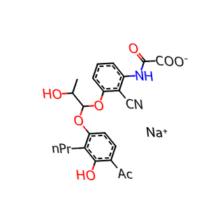 CCCc1c(OC(Oc2cccc(NC(=O)C(=O)[O-])c2C#N)C(C)O)ccc(C(C)=O)c1O.[Na+]